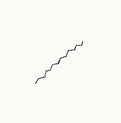 CCCCCCCCCCSOCC